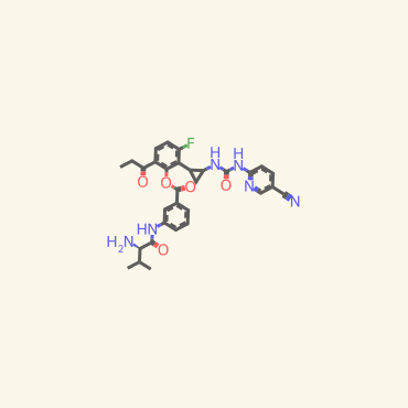 CCC(=O)c1ccc(F)c(C2CC2NC(=O)Nc2ccc(C#N)cn2)c1OC(=O)c1cccc(NC(=O)[C@H](N)C(C)C)c1